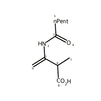 C=C(NC(=O)CCCCC)C(C)C(=O)O